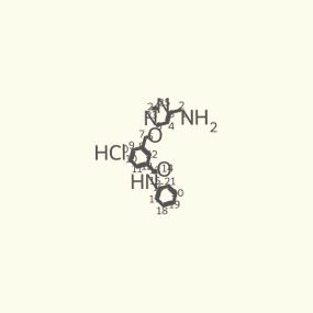 Cl.NCc1cc(OCc2cccc(C(=O)Nc3ccccc3)c2)ncn1